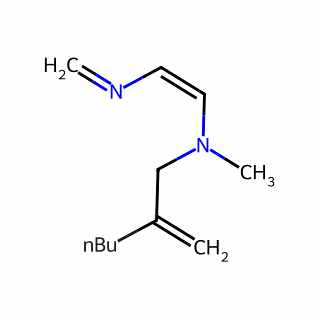 C=N/C=C\N(C)CC(=C)CCCC